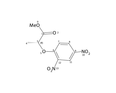 COC(=O)[C@@H](C)Oc1ccc([N+](=O)[O-])cc1[N+](=O)[O-]